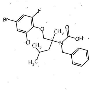 CC(C)CC(C)(COc1c(F)cc(Br)cc1Cl)N(Cc1ccccc1)C(=O)O